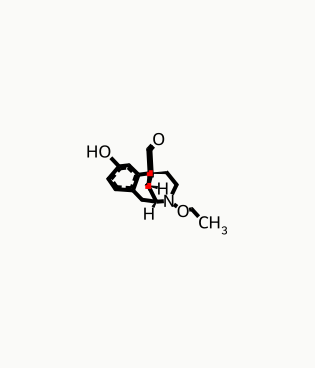 CCON1CC[C@]23C(=C=O)CCC[C@H]2[C@H]1Cc1ccc(O)cc13